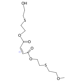 COCCSCCOC(=O)/C=C\C(=O)OCCSCCO